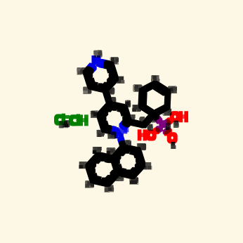 Cl.O=P(O)(O)C1(Cc2cc(-c3ccncc3)cc[n+]2-c2cccc3ccccc23)C=CC=CC1.[Cl-]